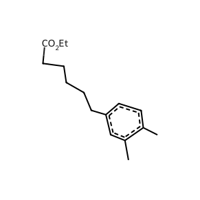 CCOC(=O)CCCCCc1ccc(C)c(C)c1